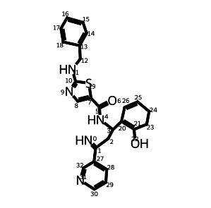 N=C(CC(NC(=O)c1cnc(NCc2ccccc2)s1)C1=C(O)CCC=C1)c1cccnc1